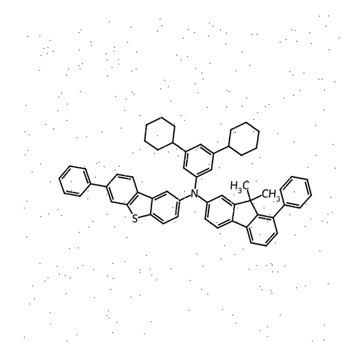 CC1(C)c2cc(N(c3cc(C4CCCCC4)cc(C4CCCCC4)c3)c3ccc4sc5cc(-c6ccccc6)ccc5c4c3)ccc2-c2cccc(-c3ccccc3)c21